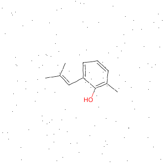 CC(C)=Cc1cccc(C)c1O